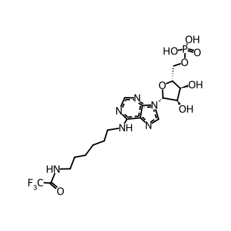 O=C(NCCCCCCNc1ncnc2c1ncn2[C@@H]1O[C@H](COP(=O)(O)O)[C@@H](O)[C@H]1O)C(F)(F)F